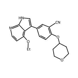 CCOc1ccnc2[nH]cc(-c3ccc(OC4CCOCC4)c(C#N)c3)c12